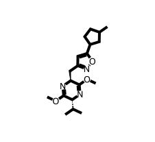 COC1=N[C@H](C(C)C)C(OC)=N[C@H]1Cc1cc(C2CCC(C)C2)on1